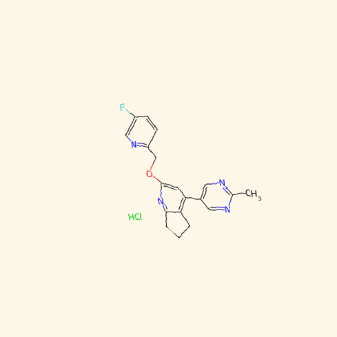 Cc1ncc(-c2cc(OCc3ccc(F)cn3)nc3c2CCC3)cn1.Cl